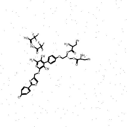 CC(C)CC(N)C(=O)O[C@H](COC(=O)[C@@H](N)CC(C)C)COc1ccc(-c2c(C#N)c(N)nc(SCc3coc(-c4ccc(Cl)cc4)n3)c2C#N)cc1.O=C(O)C(F)(F)F.O=C(O)C(F)(F)F